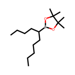 CCCCCC(CCCC)B1OC(C)(C)C(C)(C)O1